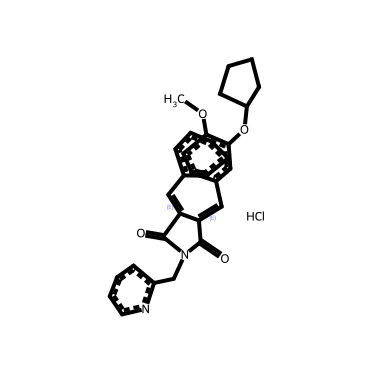 COc1ccc(/C=C2/C(=O)N(Cc3ccccn3)C(=O)/C2=C/c2ccccc2)cc1OC1CCCC1.Cl